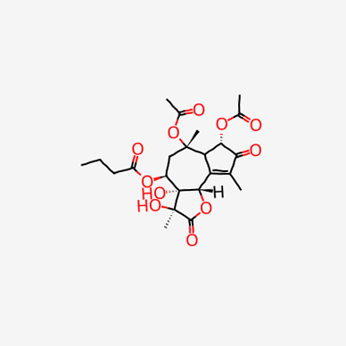 CCCC(=O)O[C@H]1C[C@](C)(OC(C)=O)C2C(=C(C)C(=O)[C@H]2OC(C)=O)[C@@H]2OC(=O)[C@@](C)(O)[C@@]12O